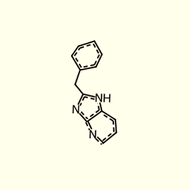 c1ccc(Cc2nc3ncccc3[nH]2)cc1